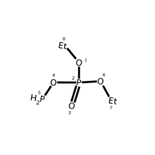 CCOP(=O)(OP)OCC